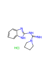 Cl.N=C(Nc1nc2ccccc2[nH]1)N1CCCC1